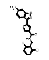 O=C(NCc1c(F)cccc1Cl)c1csc(-c2n[nH]c3cc([N+](=O)[O-])ccc23)c1